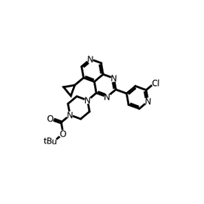 CC(C)(C)OC(=O)N1CCN(c2nc(-c3ccnc(Cl)c3)nc3cncc(C4CC4)c23)CC1